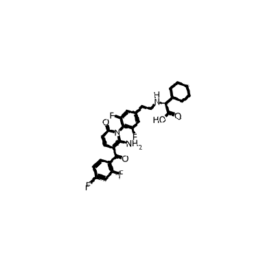 Nc1c(C(=O)c2ccc(F)cc2F)ccc(=O)n1-c1c(F)cc(CCN[C@H](C(=O)O)C2CCCCC2)cc1F